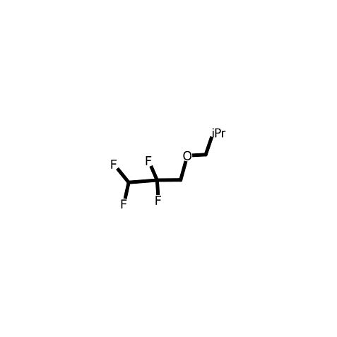 CC(C)COCC(F)(F)C(F)F